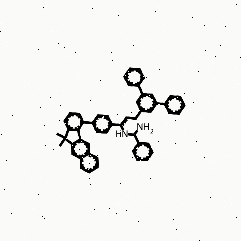 CC1(C)c2cc3ccccc3cc2-c2c(-c3ccc(/C(=C/Cc4cc(-c5ccccc5)cc(-c5ccccc5)c4)NC(N)c4ccccc4)cc3)cccc21